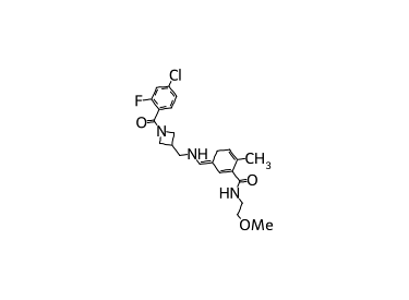 COCCNC(=O)C1=C/C(=C/NCC2CN(C(=O)c3ccc(Cl)cc3F)C2)CC=C1C